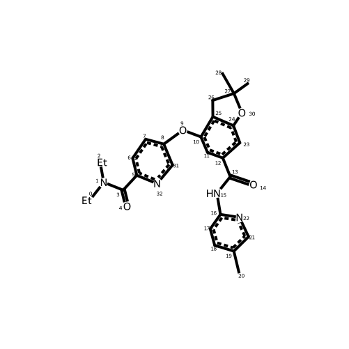 CCN(CC)C(=O)c1ccc(Oc2cc(C(=O)Nc3ccc(C)cn3)cc3c2CC(C)(C)O3)cn1